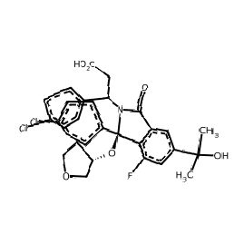 CC(C)(O)c1cc(F)c2c(c1)C(=O)N(C(CC(=O)O)c1ccc(Cl)cc1)[C@@]2(O[C@H]1CCOC1)c1ccc(Cl)cc1